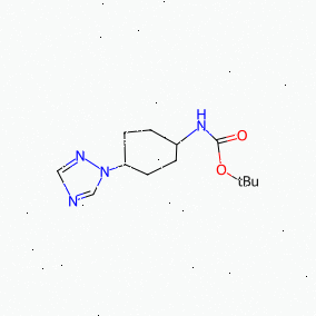 CC(C)(C)OC(=O)NC1CCC(n2cncn2)CC1